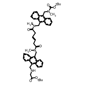 CN(Cc1c2ccccc2c(CNCC(=O)OC(C)(C)C)c2ccccc12)C(=O)CC=CCC(=O)N(C)Cc1c2ccccc2c(CN(C)C(=O)OC(C)(C)C)c2ccccc12